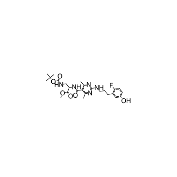 COC(=O)C(CNC(=O)OC(C)(C)C)NC(=O)c1c(C)nc(NCCCc2cc(O)ccc2F)nc1C